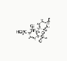 CS(=O)(=O)c1ccc(C(=O)O)[n+]([O-])c1-c1ccc(F)cc1